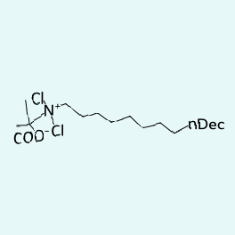 CCCCCCCCCCCCCCCCCC[N+](Cl)(Cl)C(C)(C)C(=O)[O-]